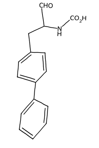 O=CC(Cc1ccc(-c2ccccc2)cc1)NC(=O)O